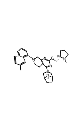 Cc1ccc2cccc(N3CCc4c(nc(OC[C@@H]5CCCN5C)nc4N4CC5CCC(C4)N5)C3)c2c1